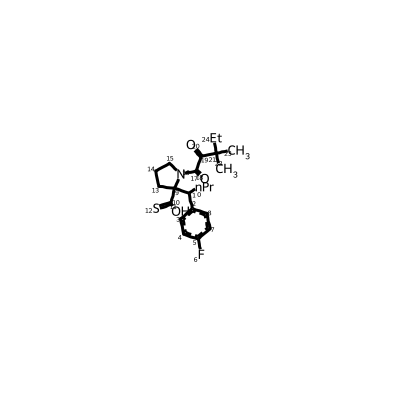 CCCC(c1ccc(F)cc1)C1(C(O)=S)CCCN1C(=O)C(=O)C(C)(C)CC